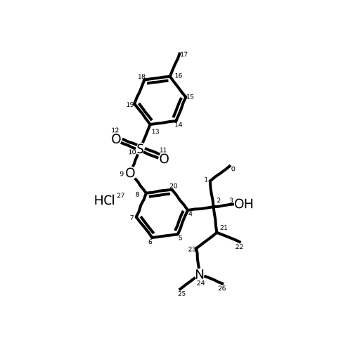 CCC(O)(c1cccc(OS(=O)(=O)c2ccc(C)cc2)c1)C(C)CN(C)C.Cl